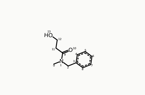 CN(Cc1ccccc1)C(=O)CCO